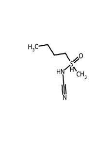 CCCC[SH](C)(=O)NC#N